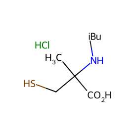 CCC(C)NC(C)(CS)C(=O)O.Cl